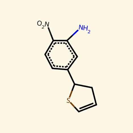 Nc1cc(C2CC=CS2)ccc1[N+](=O)[O-]